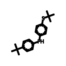 CC(C)(C)Sc1ccc(Pc2ccc(C(C)(C)C)cc2)cc1